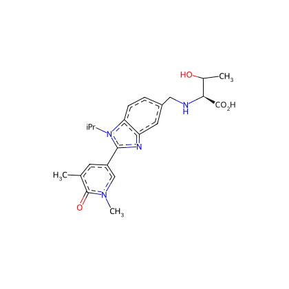 Cc1cc(-c2nc3cc(CN[C@H](C(=O)O)C(C)O)ccc3n2C(C)C)cn(C)c1=O